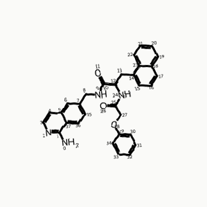 Nc1nccc2cc(CNC(=O)C(Cc3cccc4ccccc34)NC(=O)COc3ccccc3)ccc12